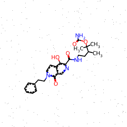 CC(CCNC(=O)c1ncc2c(=O)n(CCc3ccccc3)ccc2c1O)C(C)(C)OC(N)=O